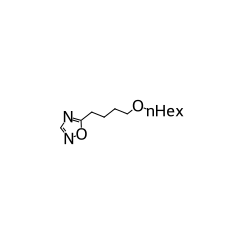 [CH2]CCCCCOCCCCc1ncno1